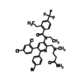 CCc1cc(C(F)(F)F)ccc1C(=O)N(CC)c1cc(-c2ccc(Cl)cc2Cl)c(-c2ccc(Br)cc2)nc1CN(C)CCC(N)=O